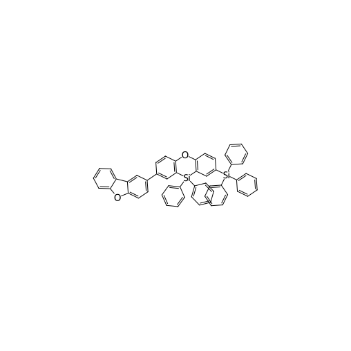 c1ccc([Si](c2ccccc2)(c2ccccc2)c2ccc3c(c2)[Si](c2ccccc2)(c2ccccc2)c2cc(-c4ccc5oc6ccccc6c5c4)ccc2O3)cc1